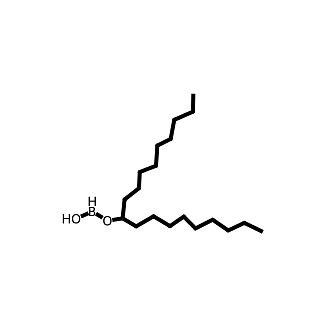 CCCCCCCCCC(CCCCCCCCC)OBO